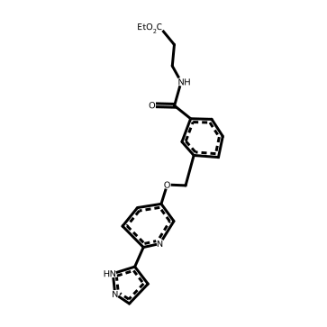 CCOC(=O)CCNC(=O)c1cccc(COc2ccc(-c3ccn[nH]3)nc2)c1